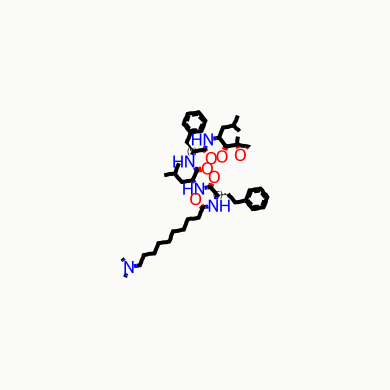 CC(C)CC(NC(=O)[C@H](CCc1ccccc1)NC(=O)CCCCCCCCCN(C)C)C(=O)N[C@@H](Cc1ccccc1)C(=O)NC(CC(C)C)C(=O)C1(C)CO1